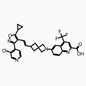 O=C(O)c1cc(C(F)(F)F)c2cc(N3CC4(CC(C=Cc5c(-c6ccncc6Cl)noc5C5CC5)C4)C3)ccc2n1